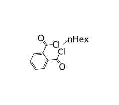 CCCCCCC.O=C(Cl)c1ccccc1C(=O)Cl